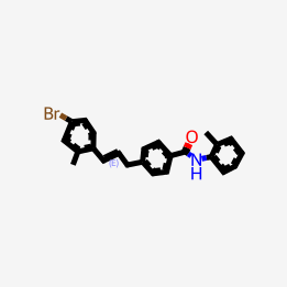 Cc1cc(Br)ccc1/C=C/Cc1ccc(C(=O)Nc2ccccc2C)cc1